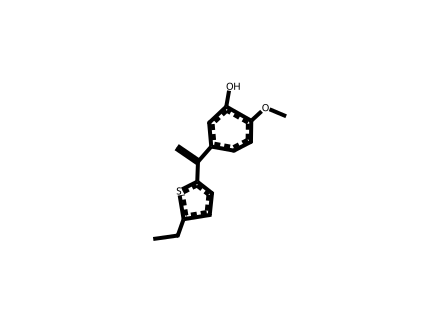 C=C(c1ccc(OC)c(O)c1)c1ccc(CC)s1